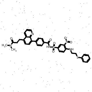 CN(C)C(=O)CCc1ccc(-c2ccc(C(=O)NS(=O)(=O)c3ccc(NCCSc4ccccc4)c([N+](=O)[O-])c3)cc2)c2ncccc12